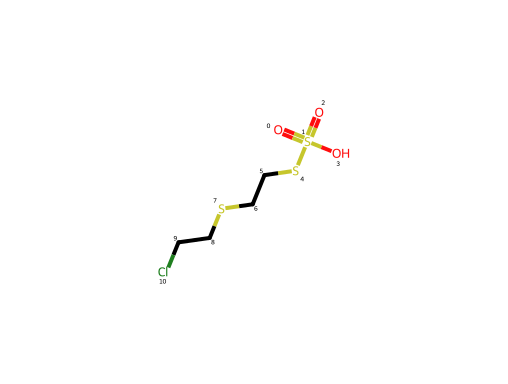 O=S(=O)(O)SCCSCCCl